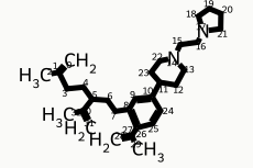 C=C(C)CCC(CCc1cc(C2CCN(CCN3CCCC3)CC2)ccc1C(=C)C)C(=C)C